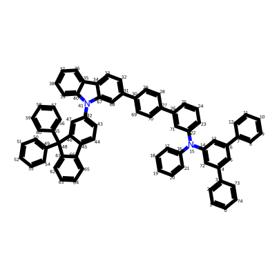 c1ccc(-c2cc(-c3ccccc3)cc(N(c3ccccc3)c3cccc(-c4ccc(-c5ccc6c7ccccc7n(-c7ccc8c(c7)C(c7ccccc7)(c7ccccc7)c7ccccc7-8)c6c5)cc4)c3)c2)cc1